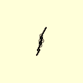 CCCCCCCCCCOc1ccc(C(=O)Oc2ccc(OC/C=C/C3CCC(CCCCC)CC3)cc2)cc1